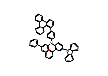 c1ccc(-c2cccc(N(c3ccc(-c4cccc5c6ccccc6c6ccccc6c45)cc3)c3ccc(-n4c5ccccc5c5ccccc54)cc3-c3ccccc3)c2)cc1